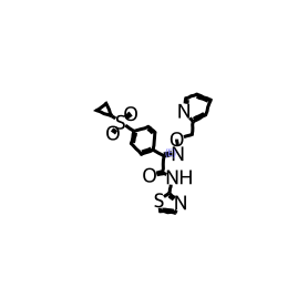 O=C(Nc1nccs1)/C(=N/OCc1ccccn1)c1ccc(S(=O)(=O)C2CC2)cc1